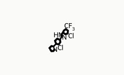 FC(F)(F)c1cc(Cl)c2nc(-c3ccc(-c4ccccn4)c(Cl)c3)[nH]c2c1